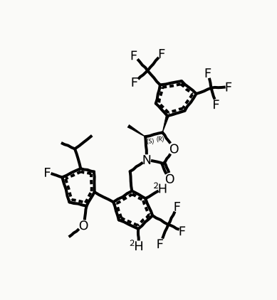 [2H]c1cc(-c2cc(C(C)C)c(F)cc2OC)c(CN2C(=O)O[C@H](c3cc(C(F)(F)F)cc(C(F)(F)F)c3)[C@@H]2C)c([2H])c1C(F)(F)F